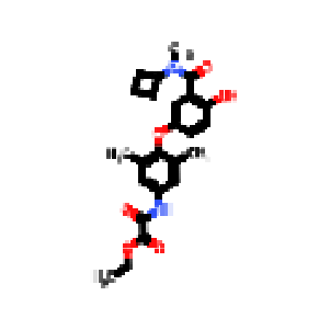 CCOC(=O)C(=O)Nc1cc(C)c(Oc2ccc(O)c(C(=O)N(C)C3CCC3)c2)c(C)c1